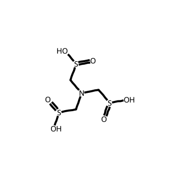 O=S(O)CN(CS(=O)O)CS(=O)O